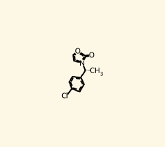 C[C@H](c1ccc(Cl)cc1)n1ccoc1=O